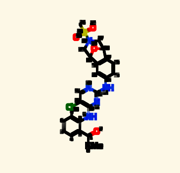 CNC(=O)c1ccccc1Nc1nc(Nc2ccc3c(c2)C2CN(S(C)(=O)=O)CC3O2)ncc1Cl